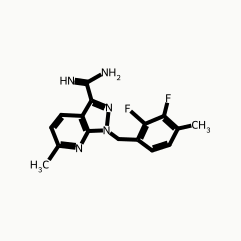 Cc1ccc2c(C(=N)N)nn(Cc3ccc(C)c(F)c3F)c2n1